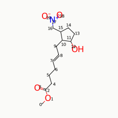 COC(=O)CCCC=CCC1C(O)CCC1C[N+](=O)[O-]